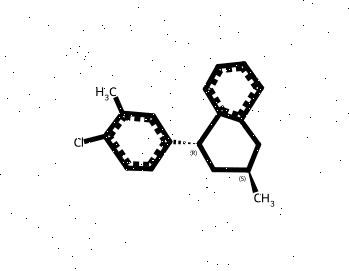 Cc1cc([C@H]2C[C@H](C)Cc3ccccc32)ccc1Cl